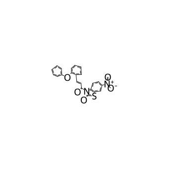 O=C(C=Cc1ccccc1Oc1ccccc1)n1c(=O)sc2cc([N+](=O)[O-])ccc21